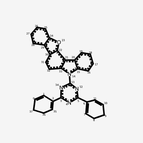 C1=CC(c2nc(C3=CCCC=C3)nc(-n3c4ccccc4c4c5oc6ccccc6c5ccc43)n2)=CCC1